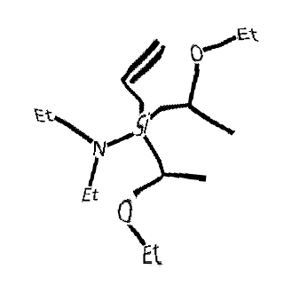 C=C[Si](C(C)OCC)(C(C)OCC)N(CC)CC